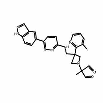 CC(C=O)(C=O)N1CC(CNc2ccc(-c3ccc4[nH]ncc4c3)nn2)(c2ncccc2F)C1